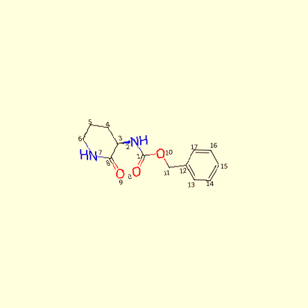 O=C(N[C@@H]1CCCNC1=O)OCc1ccccc1